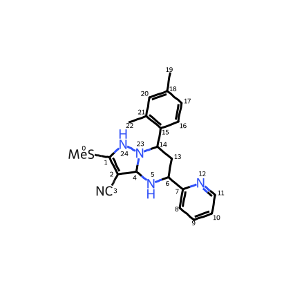 CSC1=C(C#N)C2NC(c3ccccn3)CC(c3ccc(C)cc3C)N2N1